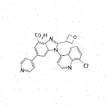 O=C(O)c1cc(-c2ccncc2)cc2c1nc(C1COC1)n2-c1ccnc2c(Cl)cccc12